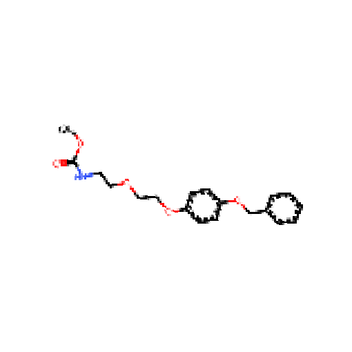 CC(C)(C)OC(=O)NCCOCCOc1ccc(OCc2ccccc2)cc1